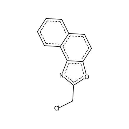 ClCc1nc2c(ccc3ccccc32)o1